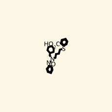 O=C(O)c1ccccc1SCCCCN(CC1CCCCC1)c1nc2ccccc2o1